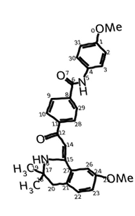 COc1ccc(NC(=O)c2ccc(C(=O)C=C3NC(C)(C)Cc4ccc(OC)cc43)cc2)cc1